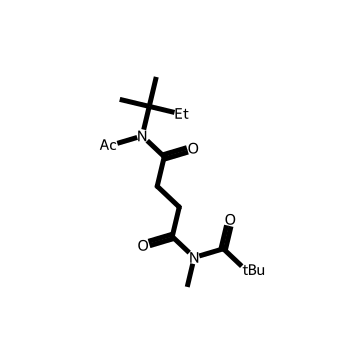 CCC(C)(C)N(C(C)=O)C(=O)CCC(=O)N(C)C(=O)C(C)(C)C